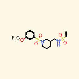 C=CS(=O)(=O)NCC1CCCN(S(=O)(=O)c2cccc(OC(F)(F)F)c2)C1